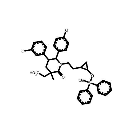 CC1(CC(=O)O)CC(c2cccc(Cl)c2)C(c2ccc(Cl)cc2)N(CCC2CC2O[Si](c2ccccc2)(c2ccccc2)C(C)(C)C)C1=O